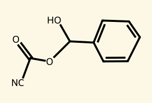 N#CC(=O)OC(O)c1ccccc1